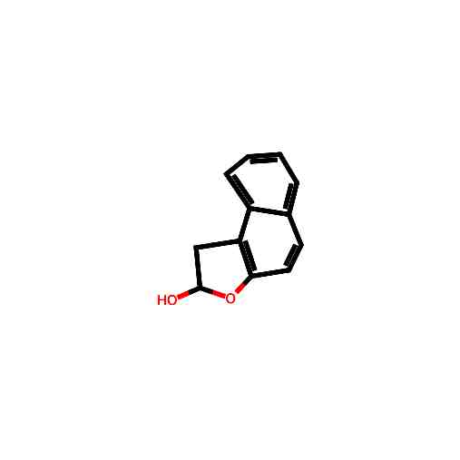 OC1Cc2c(ccc3ccccc23)O1